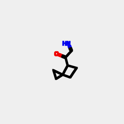 N=CC(=O)C1CCC12CC2